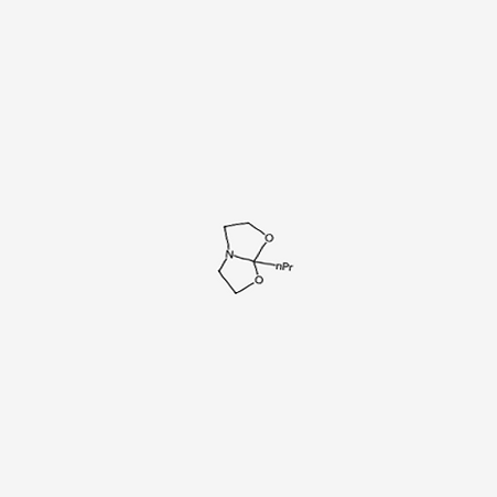 CCCC12OCCN1CCO2